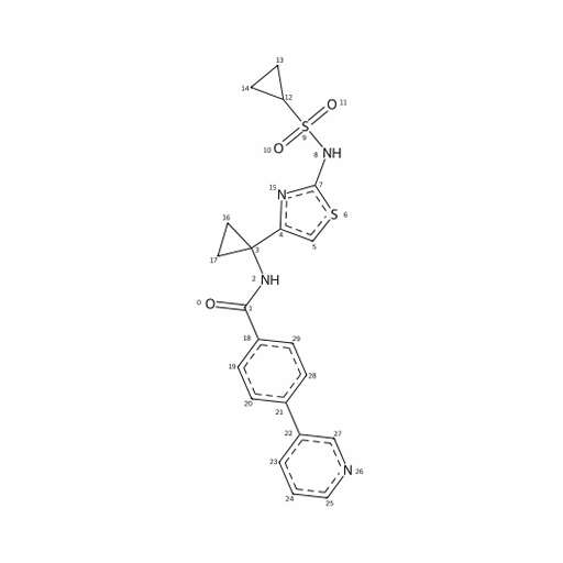 O=C(NC1(c2csc(NS(=O)(=O)C3CC3)n2)CC1)c1ccc(-c2cccnc2)cc1